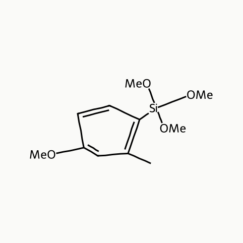 COc1ccc([Si](OC)(OC)OC)c(C)c1